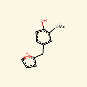 COc1cc(Cc2ccco2)ccc1O